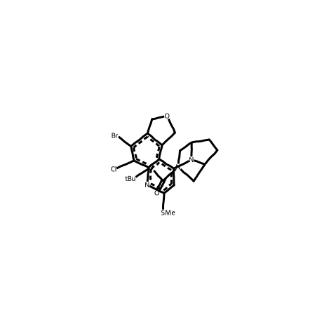 CSc1cc(N2C3CCC2CN(C(=O)OC(C)(C)C)C3)c2c3c(c(Br)c(Cl)c2n1)COC3